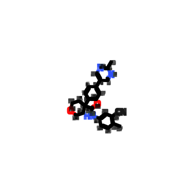 Cc1ncc(-c2ccc(C3(C(=O)Nc4ccc(C)c(C#N)c4)CCOCC3)cc2)cn1